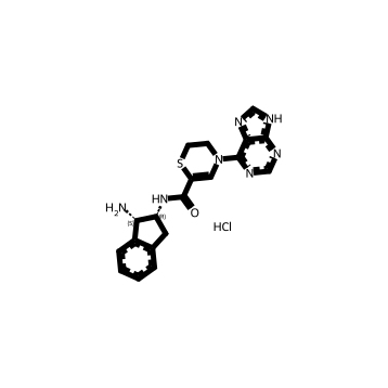 Cl.N[C@H]1c2ccccc2C[C@H]1NC(=O)C1=CN(c2ncnc3[nH]cnc23)CCS1